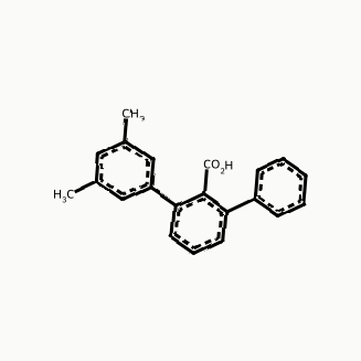 Cc1cc(C)cc(-c2cccc(-c3ccccc3)c2C(=O)O)c1